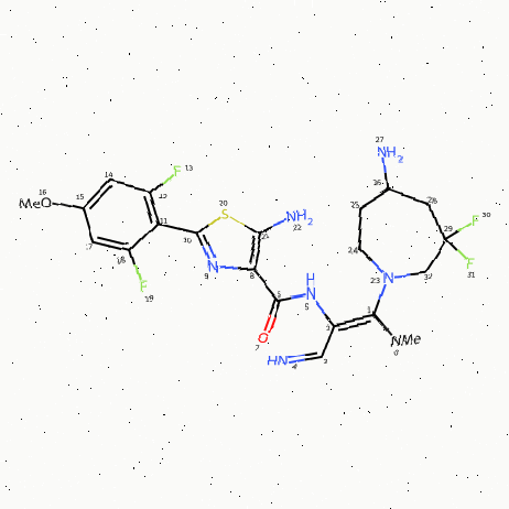 CN/C(=C(\C=N)NC(=O)c1nc(-c2c(F)cc(OC)cc2F)sc1N)N1CCC(N)CC(F)(F)C1